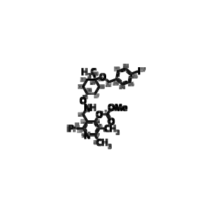 COC(=O)Oc1c(C)c(C)nc(C(C)C)c1CNO[C@H]1CC[C@@](C)(OCc2ccc(I)cc2)CC1